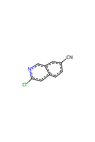 N#Cc1ccc2cc(Cl)ncc2c1